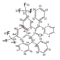 O=C(C(=C(c1ccccc1)c1ccccc1)c1cccc(C(F)(F)F)c1)C(=C(c1ccccc1)c1ccccc1)c1cccc(C(F)(F)F)c1